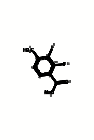 COC(=O)c1ccc(C(=O)O)c(F)c1F